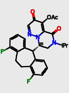 CC(=O)Oc1c2n(ncc1=O)[C@@H](C1c3cccc(F)c3CCc3c(F)cccc31)CN(C(C)C)C2=O